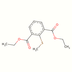 CCOC(=O)c1c[c]cc(C(=O)OCC)c1SC